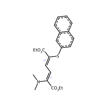 CCOC(=O)/C(=C/C=C(/C(=O)OCC)N(C)C)Sc1ccc2ccccc2c1